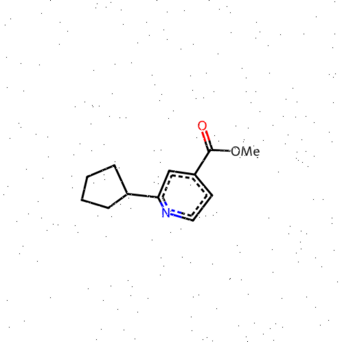 COC(=O)c1ccnc(C2CCCC2)c1